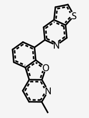 Cc1ccc2c(n1)oc1c(-c3cc4ccsc4cn3)cccc12